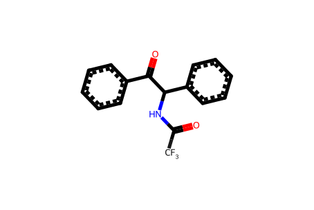 O=C(c1ccccc1)C(NC(=O)C(F)(F)F)c1ccccc1